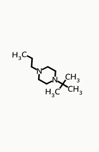 CCCN1CCN(C(C)(C)C)CC1